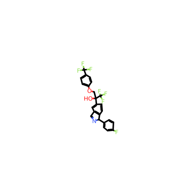 OC(COc1ccc(C(F)(F)F)cc1)(c1ccc2c(c1)C=NC2c1ccc(F)cc1)C(F)(F)F